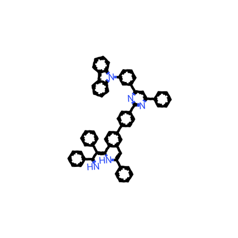 N=C(/C(=C1\NC(c2ccccc2)=Cc2cc(-c3ccc(-c4nc(-c5ccccc5)cc(-c5cccc(-n6c7ccccc7c7ccccc76)c5)n4)cc3)ccc21)c1ccccc1)c1ccccc1